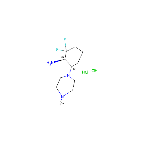 CC(C)N1CCN([C@H]2CCCC(F)(F)[C@@H]2N)CC1.Cl.Cl